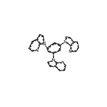 c1cnc2c(c1)ccn2-c1cc(-n2ccc3cccnc32)cc(-n2ccc3cccnc32)c1